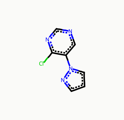 Clc1ncncc1-n1cccn1